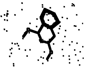 COC1Cc2ccccc2C(OC)[N]1